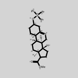 COC(=O)C1CC[C@H]2[C@@H]3CN=C4CC(O[Si](C(C)C)(C(C)C)C(C)C)CC[C@]4(C)[C@@H]3CC[C@]12C